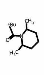 CC1CCCC(C)N1C(=O)C(C)(C)C